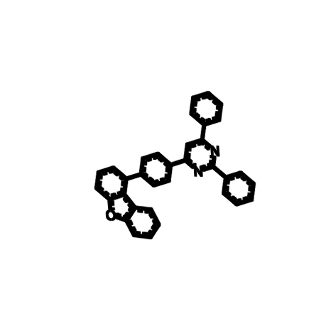 c1ccc(-c2cc(-c3ccc(-c4cccc5oc6ccccc6c45)cc3)nc(-c3ccccc3)n2)cc1